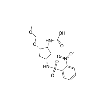 COCO[C@H]1C[C@@H](NS(=O)(=O)c2ccccc2[N+](=O)[O-])C[C@H]1NC(=O)O